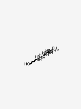 BBBBBBBBBBCCCCO